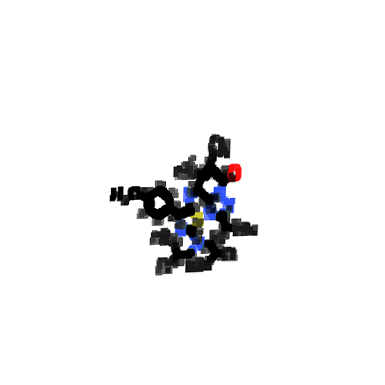 CCCCC1=C(C#N)C(=O)n2nc(C(CC)CCCC)nc2/C1=N\c1sc(N(CC(CC)CCCC)CC(CC)CCCC)nc1-c1ccc(C)cc1